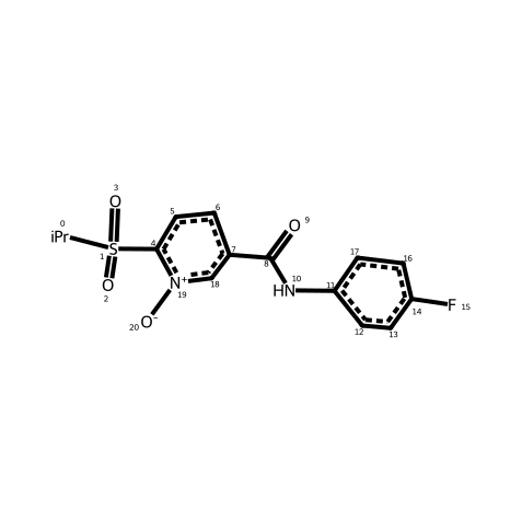 CC(C)S(=O)(=O)c1ccc(C(=O)Nc2ccc(F)cc2)c[n+]1[O-]